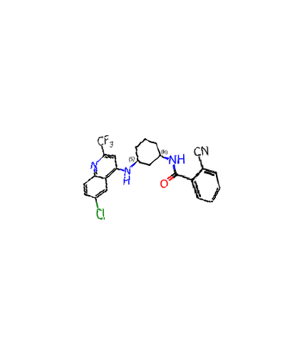 N#Cc1ccccc1C(=O)N[C@@H]1CCC[C@H](Nc2cc(C(F)(F)F)nc3ccc(Cl)cc23)C1